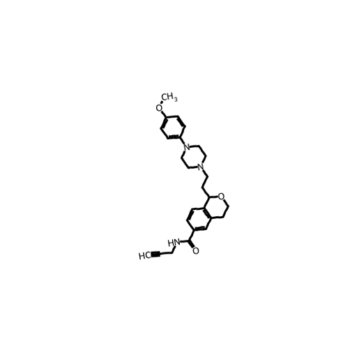 C#CCNC(=O)c1ccc2c(c1)CCOC2CCN1CCN(c2ccc(OC)cc2)CC1